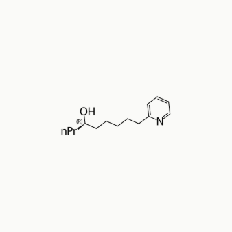 CCC[C@@H](O)CCCCCc1ccccn1